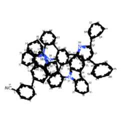 N#Cc1cccc(-c2ccc3c(c2)c2ccccc2n3-c2c(-c3ccccc3-n3c4ccccc4c4ccccc43)cc(-c3cc(-c4ccccc4)cc(-c4ccccc4)n3)cc2-c2ccccc2-n2c3ccccc3c3ccccc32)c1